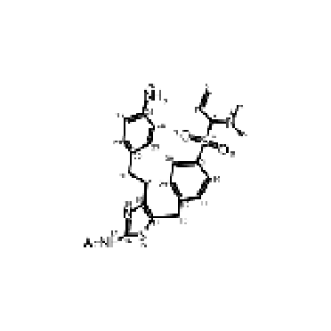 C=CC(N(C)C)S(=O)(=O)c1ccc(Cc2sc(NC(C)=O)nc2CCc2ccc(N)cc2)cc1